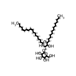 CCCC\C=C/C=C/C=C\CCCCCCCC(=O)N[C@@H](COC1OC(CO)C(O)C(O)C1O)[C@H](O)CCCCCCCCCCCCCCC